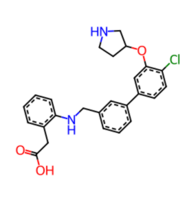 O=C(O)Cc1ccccc1NCc1cccc(-c2ccc(Cl)c(OC3CCNC3)c2)c1